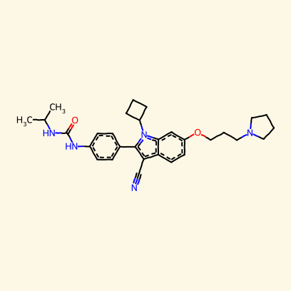 CC(C)NC(=O)Nc1ccc(-c2c(C#N)c3ccc(OCCCN4CCCC4)cc3n2C2CCC2)cc1